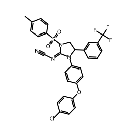 Cc1ccc(S(=O)(=O)N2CC(c3cccc(C(F)(F)F)c3)N(c3ccc(Oc4ccc(Cl)cc4)cc3)C2=NC#N)cc1